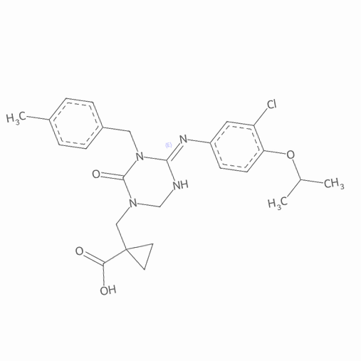 Cc1ccc(CN2C(=O)N(CC3(C(=O)O)CC3)CN/C2=N\c2ccc(OC(C)C)c(Cl)c2)cc1